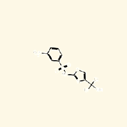 CCC(O)(CC)c1csc(NS(=O)(=O)c2cccc([N+](=O)[O-])c2)n1